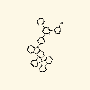 N#Cc1cccc(-c2nc(-c3ccccc3)cc(-c3ccc(-n4c5ccccc5c5c6c(ccc54)C4(c5ccccc5-c5ccccc54)c4ccccc4-6)cc3)n2)c1